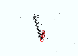 CC(=O)CCCCCC/C=C/CC1CC(=O)OC1=O